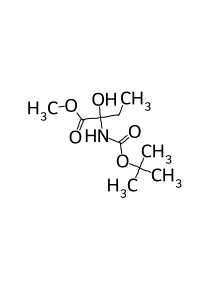 CCC(O)(NC(=O)OC(C)(C)C)C(=O)OC